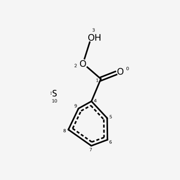 O=C(OO)c1ccccc1.[S]